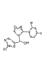 CCn1cc(C(O)c2conc2-c2ccc(F)cc2Br)cn1